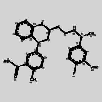 COC(=O)c1cc([C@@H]2C[C@H](CCN[C@H](C)c3ccc(F)c(OC)c3)Oc3ccccc32)ccc1C